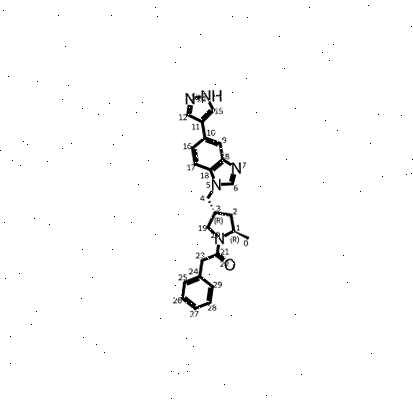 C[C@@H]1C[C@@H](Cn2cnc3cc(-c4cn[nH]c4)ccc32)CN1C(=O)Cc1ccccc1